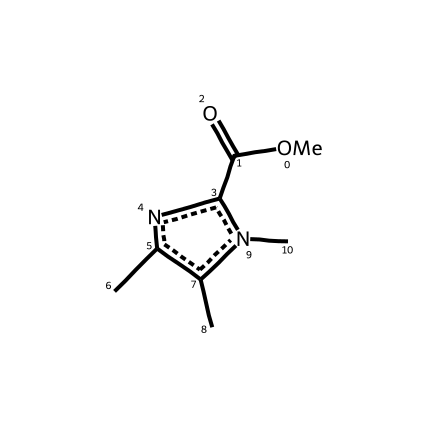 COC(=O)c1nc(C)c(C)n1C